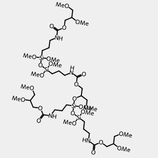 COCC(COC(=O)NCCC[Si](OC)(OC)O[Si](CCCNC(=O)OCC(COC)O[Si](CCCNC(=O)OCC(COC)OC)(OC)O[Si](CCCNC(=O)OCC(COC)OC)(OC)OC)(OC)OC)OC